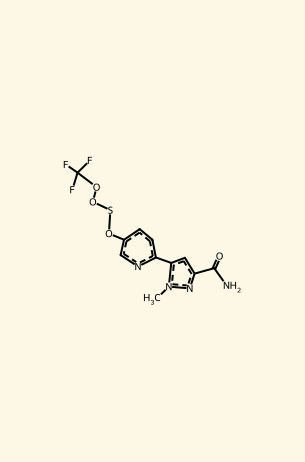 Cn1nc(C(N)=O)cc1-c1ccc(OSOOC(F)(F)F)cn1